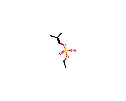 CCOP(=O)(O)OC=C(C)C